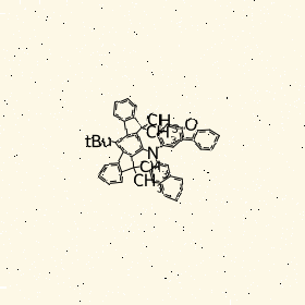 CC(C)(C)c1c2c(c(N(c3ccc4ccccc4c3)c3ccc4oc5ccccc5c4c3)c3c1-c1ccccc1C3(C)C)C(C)(C)c1ccccc1-2